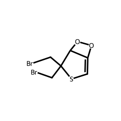 BrCC1(CBr)SC=C2OOC21